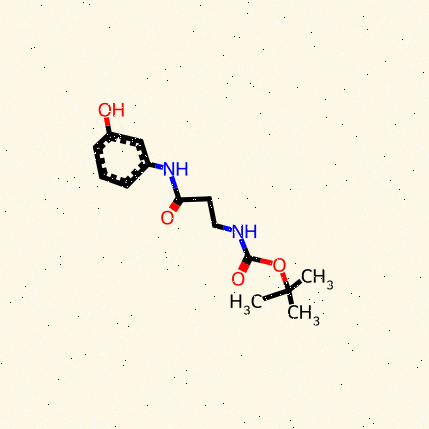 CC(C)(C)OC(=O)NCCC(=O)Nc1cccc(O)c1